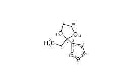 CCC1(c2cc[c]s2)OCCO1